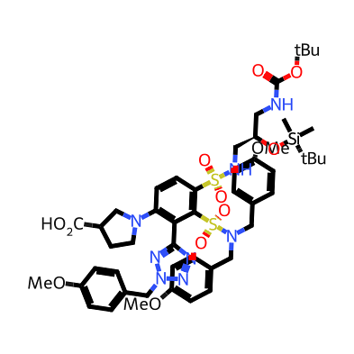 COc1ccc(CN(Cc2ccc(OC)cc2)S(=O)(=O)c2c(S(=O)(=O)NC[C@@H](CNC(=O)OC(C)(C)C)O[Si](C)(C)C(C)(C)C)ccc(N3CCC(C(=O)O)C3)c2-c2nnn(Cc3ccc(OC)cc3)n2)cc1